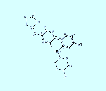 FC1CCC(Nc2cc(Cl)ncc2-c2cnc(OC3CCOC3)cn2)CC1